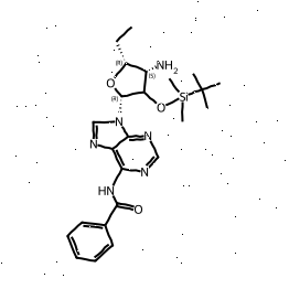 CC[C@H]1O[C@@H](n2cnc3c(NC(=O)c4ccccc4)ncnc32)C(O[Si](C)(C)C(C)(C)C)[C@H]1N